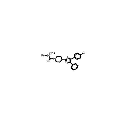 CC(C)N(O)C(=O)N1CCC(c2nc(-c3ccc(Cl)cc3)c(-c3ccccc3)o2)CC1